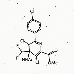 COC(=O)C1=C(Cl)C(NC(C)=O)(C(F)F)C(Cl)C(c2ccc(Cl)cn2)=N1